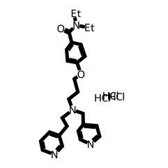 CCN(CC)C(=O)c1ccc(OCCCN(CCc2cccnc2)Cc2ccncc2)cc1.Cl.Cl.Cl